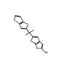 CC(C)c1cc2cc(C(C)(C)c3cc4sccc4s3)sc2s1